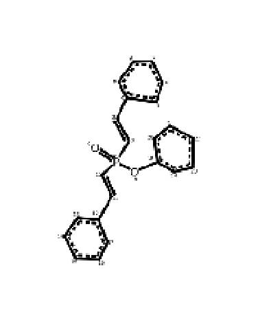 O=P(C=Cc1ccccc1)(C=Cc1ccccc1)Oc1ccccc1